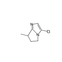 CC1CCn2c(Cl)cnc21